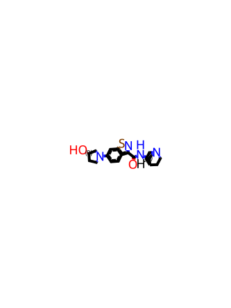 O=C(N[C@H]1CN2CCC1CC2)c1nsc2cc(N3CC[C@@H](O)C3)ccc12